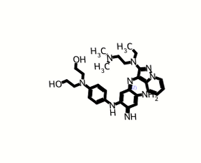 CCN(CCN(C)C)c1nn2ccccc2c1/N=C1/C=C(Nc2ccc(N(CCO)CCO)cc2)C(=N)C=C1N